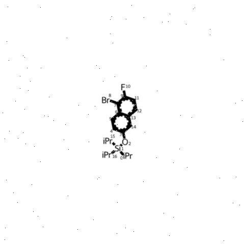 CC(C)[Si](Oc1ccc2c(Br)c(F)ccc2c1)(C(C)C)C(C)C